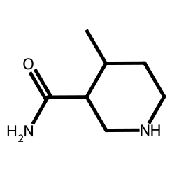 CC1CCNCC1C(N)=O